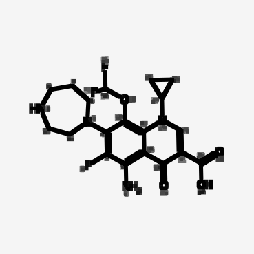 Nc1c(F)c(N2CCCNCC2)c(OC(F)F)c2c1c(=O)c(C(=O)O)cn2C1CC1